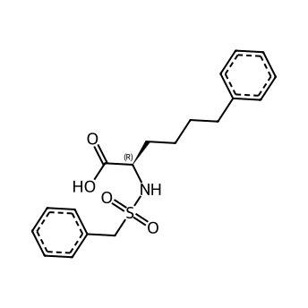 O=C(O)[C@@H](CCCCc1ccccc1)NS(=O)(=O)Cc1ccccc1